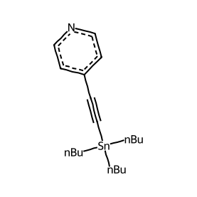 CCC[CH2][Sn]([C]#Cc1ccncc1)([CH2]CCC)[CH2]CCC